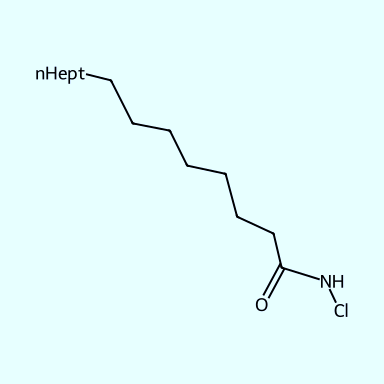 CCCCCCCCCCCCCCC(=O)NCl